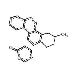 CC1CCc2ccc3c(ccc4ccccc43)c2C1.O=c1cccco1